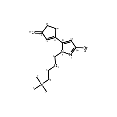 C[Si](C)(C)CCOCn1nc(Br)cc1C1=CC(=O)CC1